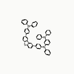 c1ccc(N(c2ccccc2)c2ccc(-c3ccc4sc5ccc(-c6ccc(N(c7ccccc7)c7cccc(N(c8ccccc8)c8ccccc8)c7)cc6)cc5c4c3)cc2)cc1